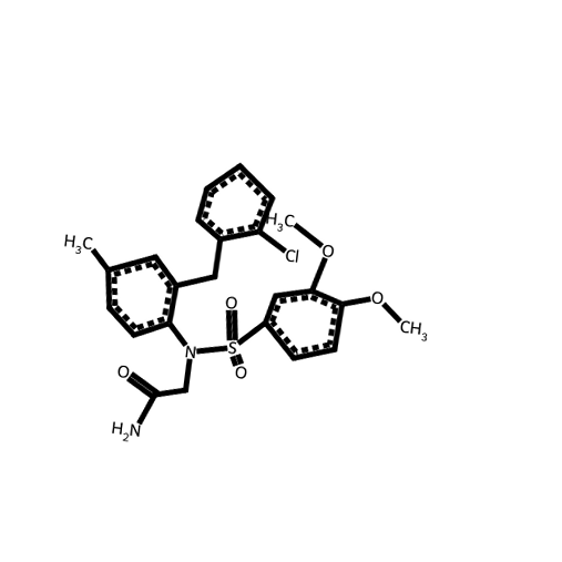 COc1ccc(S(=O)(=O)N(CC(N)=O)c2ccc(C)cc2Cc2ccccc2Cl)cc1OC